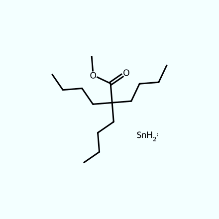 CCCCC(CCCC)(CCCC)C(=O)OC.[SnH2]